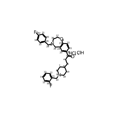 Cl.Cl.O=C(CCC1CCN(Cc2ccccc2F)CC1)c1ccc2c(c1)CN(Cc1ccc(F)cc1)CCO2